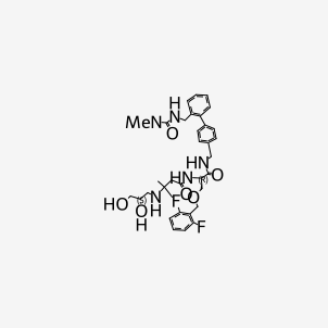 CNC(=O)NCc1ccccc1-c1ccc(CNC(=O)[C@@H](COCc2c(F)cccc2F)NC(=O)CC(C)(C)NC[C@H](O)CO)cc1